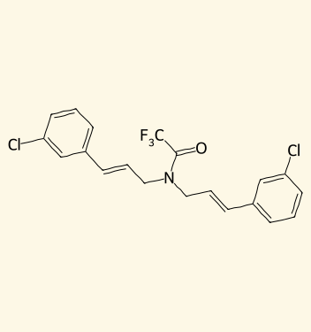 O=C(N(CC=Cc1cccc(Cl)c1)CC=Cc1cccc(Cl)c1)C(F)(F)F